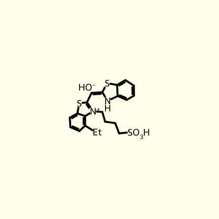 CCc1cccc2sc(C=C3Nc4ccccc4S3)[n+](CCCCS(=O)(=O)O)c12.[OH-]